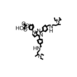 CCN(CC)C(C)CCNCc1ccc(-c2nc(-c3ccc(CNCCC(C)N(CC)CC)cc3)c3ccn(-c4ccccc4)c3n2)cc1.O=C(O)C(=O)O